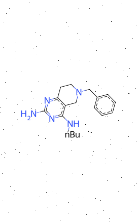 CCCCNc1nc(N)nc2c1CN(Cc1ccccc1)CC2